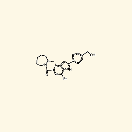 CCc1cc(C(=O)N2CCCCCC2C)nc2cc(-c3ccc(CO)cc3)nn12